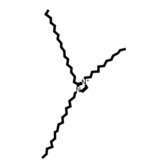 CCCCCCCCCCCCCCCCCCc1n(CCCCCCCCCCCCCCCCC)cc[n+]1CCCCCCCCCCCC